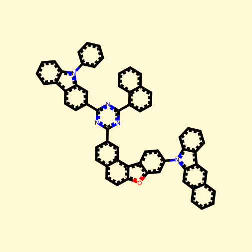 c1ccc(-n2c3ccccc3c3ccc(-c4nc(-c5ccc6ccc7oc8cc(-n9c%10ccccc%10c%10cc%11ccccc%11cc%109)ccc8c7c6c5)nc(-c5cccc6ccccc56)n4)cc32)cc1